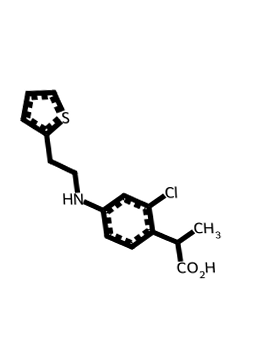 CC(C(=O)O)c1ccc(NCCc2cccs2)cc1Cl